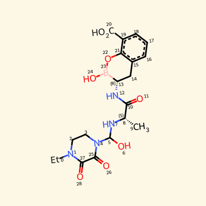 CCN1CCN(C(O)N[C@@H](C)C(=O)N[C@H]2Cc3cccc(C(=O)O)c3OB2O)C(=O)C1=O